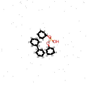 OP(Oc1ccccc1)Oc1ccccc1.c1ccc(-c2ccccc2)cc1